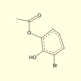 CC(=O)Oc1cccc(Br)c1O